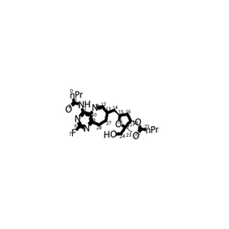 CCCC(=O)Nc1nc(F)nc2c1N=CC(C[C@H]1C[C@H](OC(=O)CCC)[C@@](C)(CO)O1)CC2